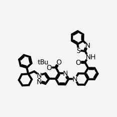 CC(C)(C)OC(=O)c1nc(N2CCc3cccc(C(=O)Nc4nc5ccccc5s4)c3C2)ccc1-c1cnn(CC2(c3ccccc3)CCCCC2)c1